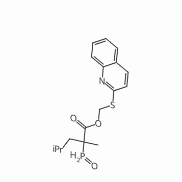 CC(C)CC(C)([PH2]=O)C(=O)OCSc1ccc2ccccc2n1